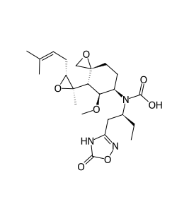 CC[C@@H](Cc1noc(=O)[nH]1)N(C(=O)O)[C@@H]1CC[C@]2(CO2)[C@@H]([C@@]2(C)O[C@@H]2CC=C(C)C)[C@@H]1OC